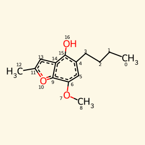 CCCCc1cc(OC)c2oc(C)cc2c1O